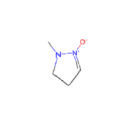 CN1CCC=[N+]1[O-]